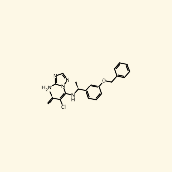 C=C(C)/C(Cl)=C(/N[C@@H](C)c1cccc(OCc2ccccc2)c1)n1ncnc1N